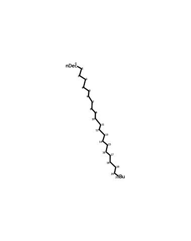 CCCCCCCCCCCCCCCCCCCCCCCCCCCCCCC(C)CC